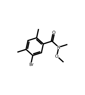 CON(C)C(=O)c1cc(Br)c(C)cc1C